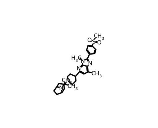 Cc1cc(C2CCN(C3CC4CCC(C3)N4C(C)C)CC2)nc2c1nc(-c1ccc(S(C)(=O)=O)cc1)n2C